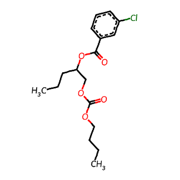 CCCCOC(=O)OCC(CCC)OC(=O)c1cccc(Cl)c1